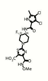 CONC(=O)c1nc(N2CC[C@@H](NC(=O)c3[nH]c(C)c(Cl)c3Cl)[C@@H](F)C2)sc1C(=O)O